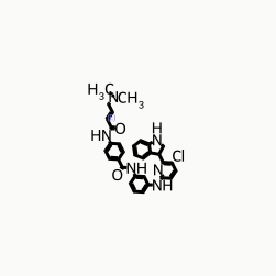 CN(C)C/C=C/C(=O)Nc1ccc(C(=O)Nc2cccc(Nc3ccc(Cl)c(C4CNc5ccccc54)n3)c2)cc1